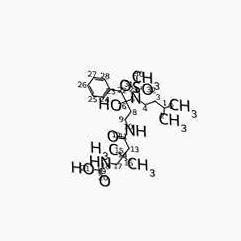 CC(C)CCN(C(O)(CCNC(=O)CC(C)(C)CNC(=O)O)Cc1ccccc1)S(C)(=O)=O